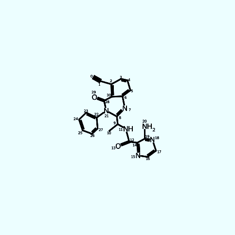 C#Cc1cccc2nc(C(C)NC(=O)c3nccnc3N)n(-c3ccccc3)c(=O)c12